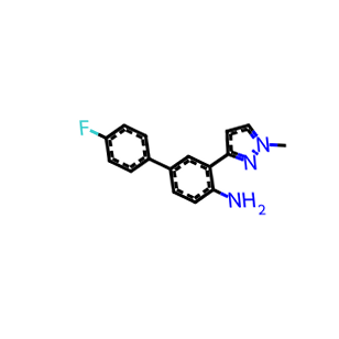 Cn1ccc(-c2cc(-c3ccc(F)cc3)ccc2N)n1